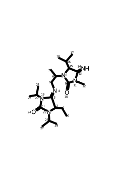 CCC1/C(=N/CC(C)N2C(=O)N(C)C(=N)C2C(C)C)N(C(C)C)C(=O)N1C(C)C